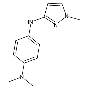 CN(C)c1ccc(Nc2ccn(C)n2)cc1